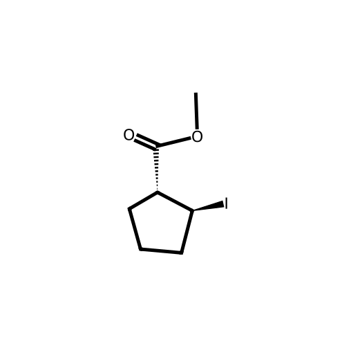 COC(=O)[C@H]1CCC[C@@H]1I